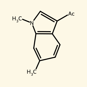 CC(=O)c1cn(C)c2cc(C)ccc12